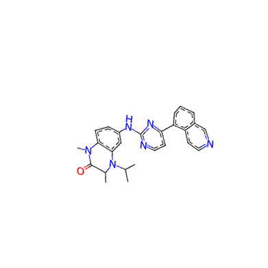 CC(C)N1c2cc(Nc3nccc(-c4cccc5cnccc45)n3)ccc2N(C)C(=O)C1C